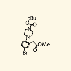 COC(=O)Cc1cc(Br)ccc1N1CCN(C(=O)OC(C)(C)C)CC1